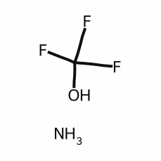 N.OC(F)(F)F